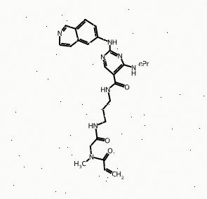 C=CC(=O)N(C)CC(=O)NCCCNC(=O)c1cnc(Nc2ccc3cnccc3c2)nc1NCCC